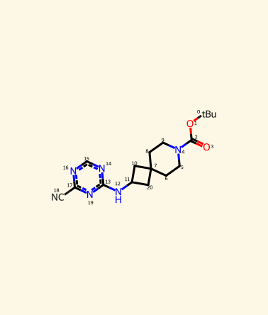 CC(C)(C)OC(=O)N1CCC2(CC1)CC(Nc1ncnc(C#N)n1)C2